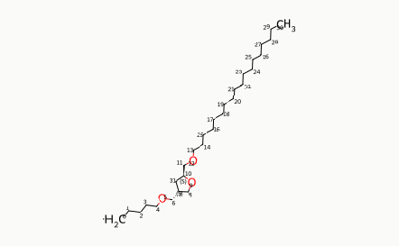 [CH2]CCCCOC[C@H]1CO[C@H](COCCCCCCCCCCCCCCCCCC)C1